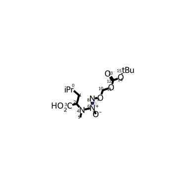 CC(C)CC(C(=O)O)N(C)/[N+]([O-])=N/OCOC(=O)OC(C)(C)C